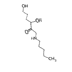 CCCCCNCC(=O)C(O)CCCO